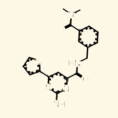 CN(C)C(=O)c1cccc(CNC(=O)c2cc(-c3ccco3)nc(N)n2)c1